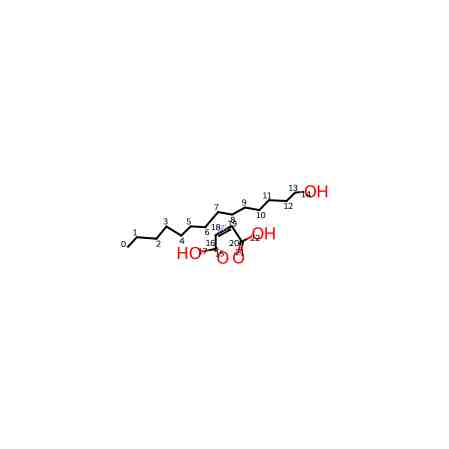 CCCCCCCCCCCCCCO.O=C(O)/C=C\C(=O)O